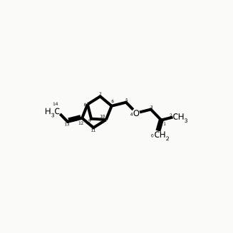 C=C(C)COCC1CC2CC1CC2=CC